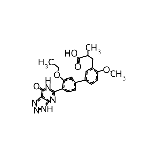 CCOc1cc(-c2ccc(OC)c(CC(C)C(=O)O)c2)ccc1-c1nc2[nH]nnc2c(=O)[nH]1